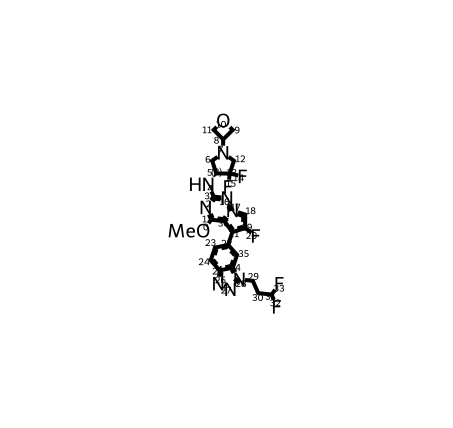 COc1nc(N[C@@H]2CN(C3COC3)CC2(F)F)nn2cc(F)c(-c3ccc4nnn(CCC(F)F)c4c3)c12